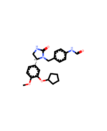 COc1ccc([C@@H]2CNC(=O)N2Cc2ccc(NC=O)cc2)cc1OC1CCCC1